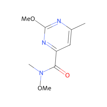 COc1nc(C)cc(C(=O)N(C)OC)n1